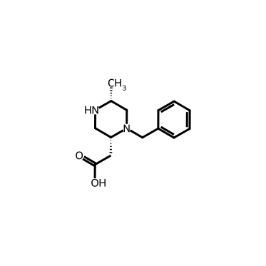 C[C@@H]1CN(Cc2ccccc2)[C@H](CC(=O)O)CN1